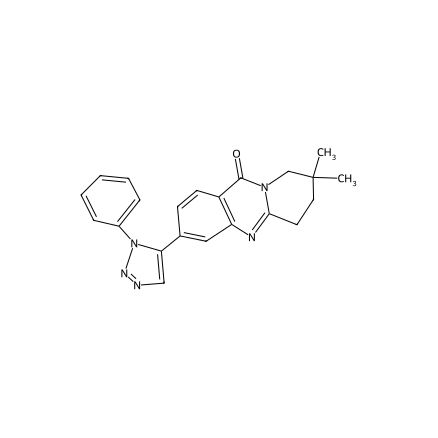 CC1(C)CCc2nc3cc(-c4cnnn4-c4ccccc4)ccc3c(=O)n2C1